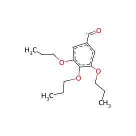 CCCOc1cc([C]=O)cc(OCCC)c1OCCC